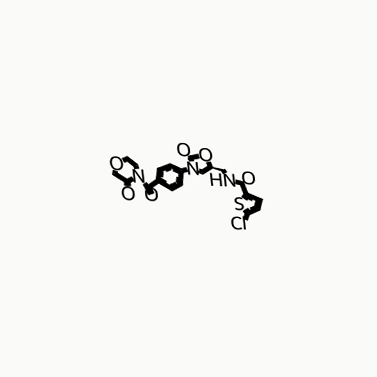 O=C(NC[C@H]1CN(c2ccc(C(=O)N3CCOCC3=O)cc2)C(=O)O1)c1ccc(Cl)s1